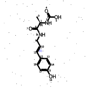 C[C@@H](NC(=O)O)C(=O)NC/C=C/c1ccc(O)cc1